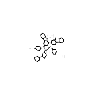 CC(C)(C)c1ccc(N2B3c4oc5ccc(-c6ccccc6)cc5c4N(c4ccc(C(C)(C)C)cc4)c4cc5c(c(c43)-c3cc4oc6ccccc6c4cc32)C(C)(C)c2ccccc2-5)cc1